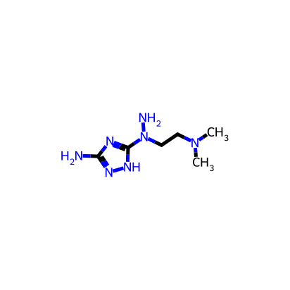 CN(C)CCN(N)c1nc(N)n[nH]1